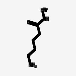 [CH2]CCNC(=O)CCCCN